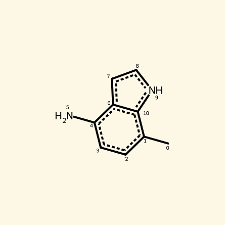 Cc1ccc(N)c2cc[nH]c12